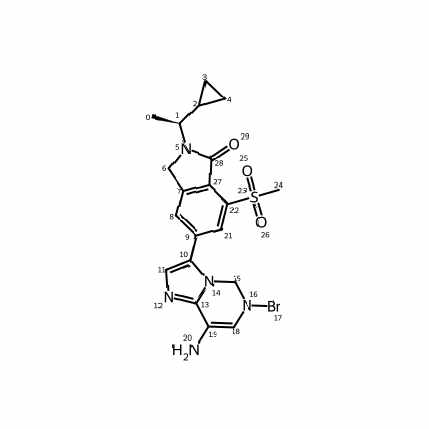 C[C@@H](C1CC1)N1Cc2cc(-c3cnc4n3CN(Br)C=C4N)cc(S(C)(=O)=O)c2C1=O